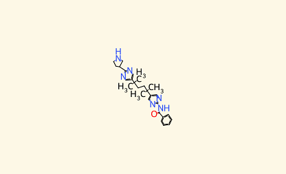 CC(C)(CCC(C)(C)c1cnc(C2CCNC2)nc1)c1cnc(NC(=O)c2ccccc2)nc1